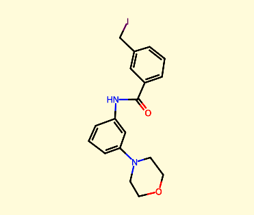 O=C(Nc1cccc(N2CCOCC2)c1)c1cccc(CI)c1